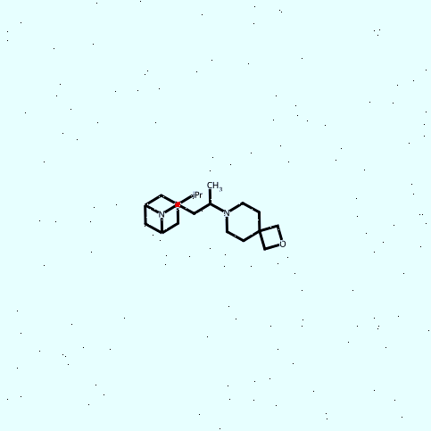 CC(C)N1CC2CC(C1)N2CCC(C)N1CCC2(CC1)COC2